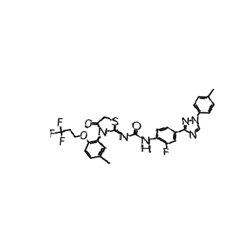 Cc1ccc(-n2cnc(-c3ccc(NC(=O)N=C4SCC(=O)N4c4cc(C)ccc4OCCC(F)(F)F)c(F)c3)n2)cc1